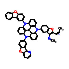 C=Nc1c(/C=C\C)oc2ccc(N3c4cccc5c4B4c6c3cccc6N(c3ccc6oc7cccnc7c6c3)c3cccc(c34)N5c3ccc4oc5ccccc5c4c3)cc12